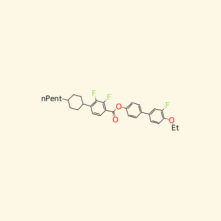 CCCCCC1CCC(c2ccc(C(=O)Oc3ccc(-c4ccc(OCC)c(F)c4)cc3)c(F)c2F)CC1